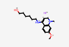 COc1ccc2c(c1)N(C)CC=C2NCCCCCCO.I